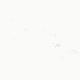 COc1ccccc1OCCNCC(O)COc1ccc2c(C)c(C(=O)c3ccccc3)oc2c1